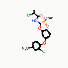 CO[PH](=O)C(NC(=O)C(C)Cl)Oc1cccc(Oc2ccc(C(F)(F)F)cc2Cl)c1